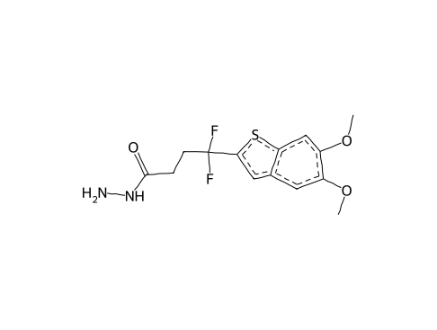 COc1cc2cc(C(F)(F)CCC(=O)NN)sc2cc1OC